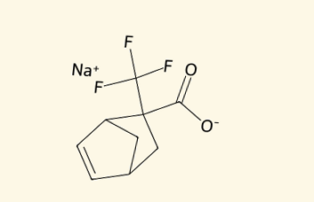 O=C([O-])C1(C(F)(F)F)CC2C=CC1C2.[Na+]